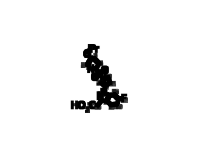 CC(C)Oc1ccc(S(=O)(=O)N2CC[C@@H](n3nc(CC(=O)O)c4ccc(F)cc43)C2)nc1